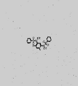 CCN(c1cc(N(CC)S(=O)(=O)c2ccccc2)c(F)cc1C)S(=O)(=O)c1ccccc1